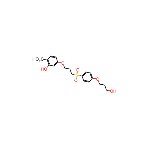 O=C(O)c1ccc(OCCCS(=O)(=O)c2ccc(OCCCO)cc2)cc1O